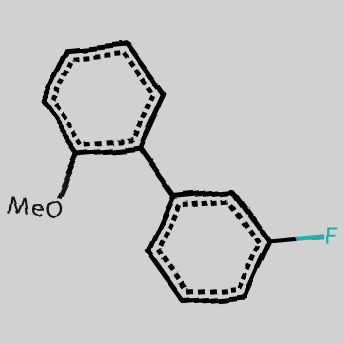 COc1ccccc1-c1cccc(F)c1